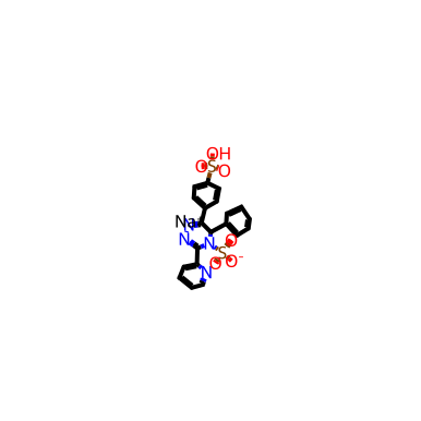 O=S(=O)(O)c1ccc(C2=NN=C(c3ccccn3)N(S(=O)(=O)[O-])C2c2ccccc2)cc1.[Na+]